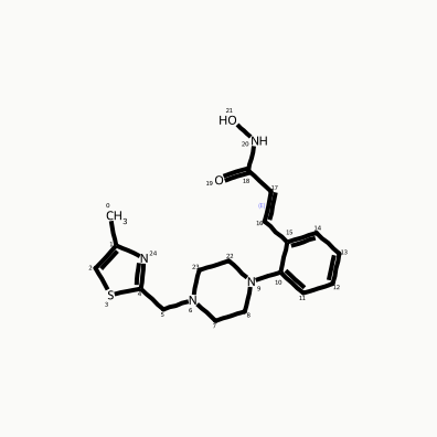 Cc1csc(CN2CCN(c3ccccc3/C=C/C(=O)NO)CC2)n1